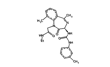 CCNC(=O)CN1C(=O)[C@H](NC(=O)Nc2cccc(C)c2)N=C(C)c2cccc(C)c21